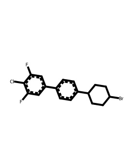 Fc1cc(-c2ccc(C3CCC(Br)CC3)cc2)cc(F)c1Cl